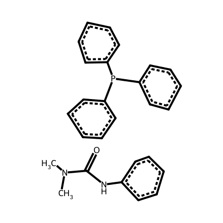 CN(C)C(=O)Nc1ccccc1.c1ccc(P(c2ccccc2)c2ccccc2)cc1